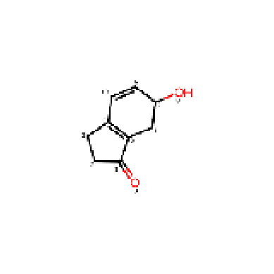 O=C1CCC2=C1CC(O)C=C2